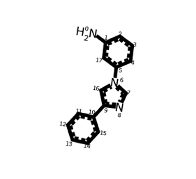 Nc1cccc(-n2cnc(-c3ccccc3)c2)c1